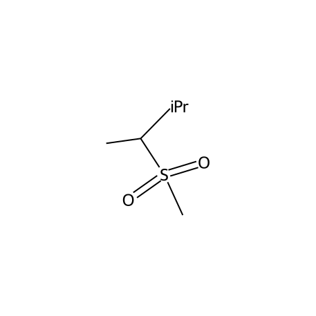 CC(C)C(C)S(C)(=O)=O